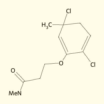 CNC(=O)CCOC1=CC(C)(Cl)CC=C1Cl